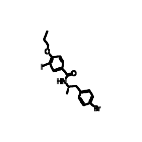 CCCOc1ccc(C(=O)N[C@H](C)Cc2ccc(Br)cc2)cc1I